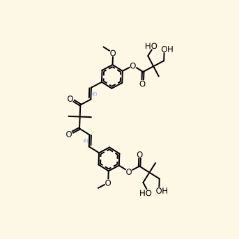 COc1cc(/C=C/C(=O)C(C)(C)C(=O)/C=C/c2ccc(OC(=O)C(C)(CO)CO)c(OC)c2)ccc1OC(=O)C(C)(CO)CO